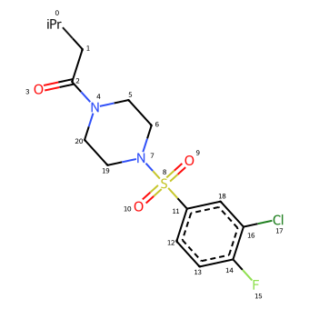 CC(C)CC(=O)N1CCN(S(=O)(=O)c2ccc(F)c(Cl)c2)CC1